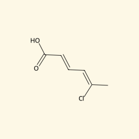 CC(Cl)=CC=CC(=O)O